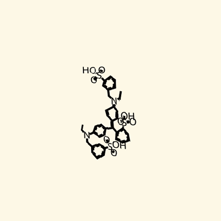 CCN(Cc1cccc(S(=O)(=O)O)c1)c1ccc(C(=C2C=CC(=[N+](CC)Cc3cccc(S(=O)(=O)O)c3)C=C2)c2ccccc2S(=O)(=O)O)cc1